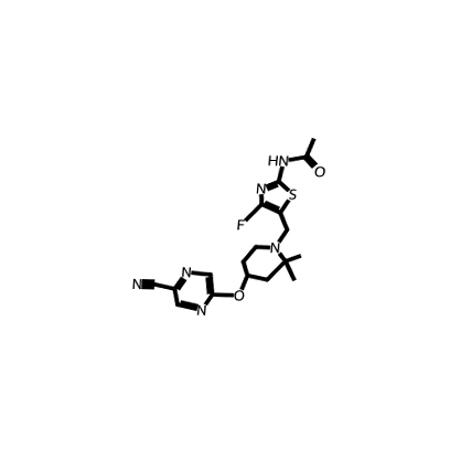 CC(=O)Nc1nc(F)c(CN2CCC(Oc3cnc(C#N)cn3)CC2(C)C)s1